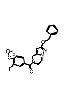 COc1ccc(C(=O)N2CCn3nc(OCc4ccccc4)cc3C2)cc1F